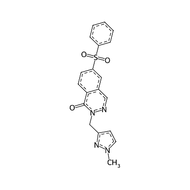 Cn1ccc(Cn2ncc3cc(S(=O)(=O)c4ccccc4)ccc3c2=O)n1